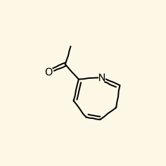 CC(=O)C1=CC=CCC=N1